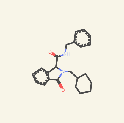 O=C(NCc1ccccc1)C1c2ccccc2C(=O)N1CC1CCCCC1